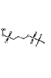 O=S(=O)(CCCOS(=O)(=O)C(F)(F)F)OO